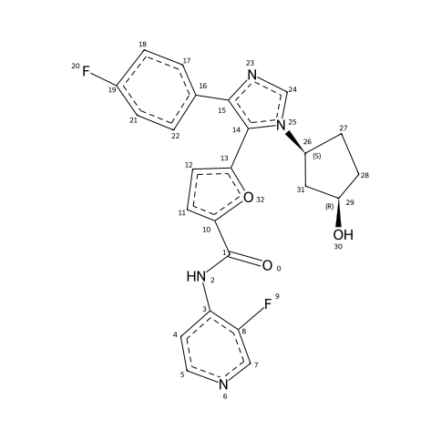 O=C(Nc1ccncc1F)c1ccc(-c2c(-c3ccc(F)cc3)ncn2[C@H]2CC[C@@H](O)C2)o1